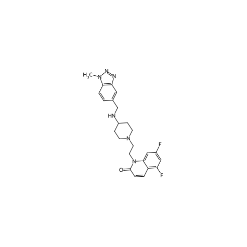 Cn1nnc2cc(CNC3CCN(CCn4c(=O)ccc5c(F)cc(F)cc54)CC3)ccc21